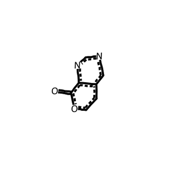 O=c1occc2cncnc12